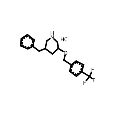 Cl.FC(F)(F)c1ccc(COC2CNCC(Cc3ccccc3)C2)cc1